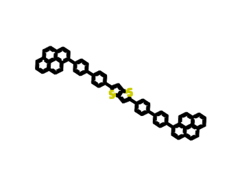 c1cc2ccc3ccc(-c4ccc(-c5ccc(-c6cc7sc(-c8ccc(-c9ccc(-c%10ccc%11ccc%12cccc%13ccc%10c%11c%12%13)cc9)cc8)cc7s6)cc5)cc4)c4ccc(c1)c2c34